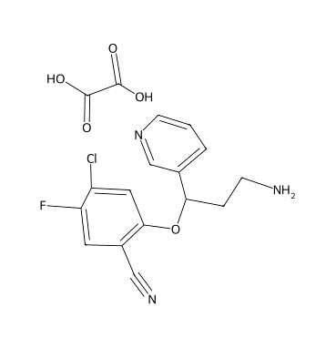 N#Cc1cc(F)c(Cl)cc1OC(CCN)c1cccnc1.O=C(O)C(=O)O